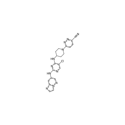 N#Cc1ccc(N2CCC(Nc3nc(Nc4cnn5ccnc5c4)ncc3Cl)CC2)nn1